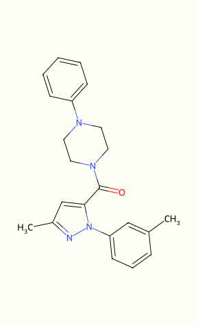 Cc1cccc(-n2nc(C)cc2C(=O)N2CCN(c3ccccc3)CC2)c1